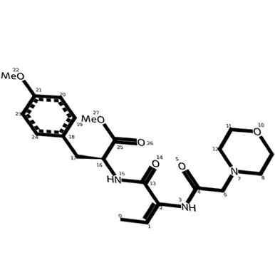 CC=C(NC(=O)CN1CCOCC1)C(=O)N[C@@H](Cc1ccc(OC)cc1)C(=O)OC